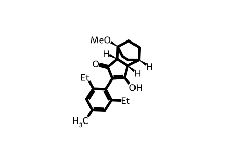 CCc1cc(C)cc(CC)c1C1=C(O)[C@H]2[C@H]3CC[C@](OC)(CC3)[C@H]2C1=O